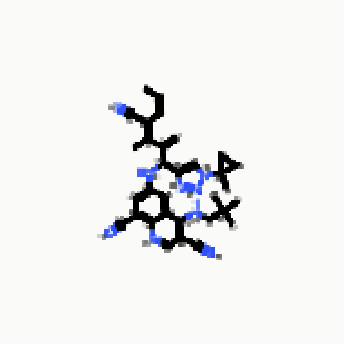 C=C(/C(C)=C(C#N)\C=C/C)[C@H](Nc1cc(C#N)c2ncc(C#N)c(NCC(C)(C)C)c2c1)c1cn(C2(C)CC2)nn1